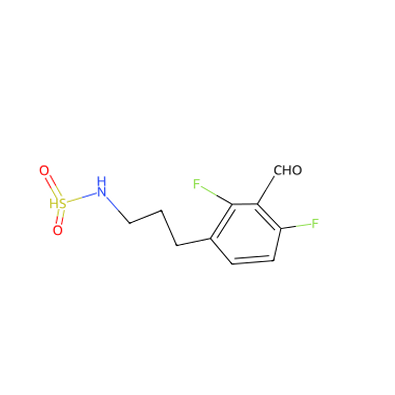 O=Cc1c(F)ccc(CCCN[SH](=O)=O)c1F